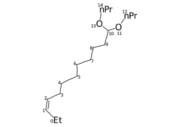 CC/C=C\CCCCCCCC(OCCC)OCCC